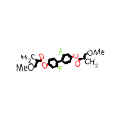 C=C(COC)C(=O)Oc1ccc(-c2ccc(OC(=O)C(=C)COC)cc2F)c(F)c1